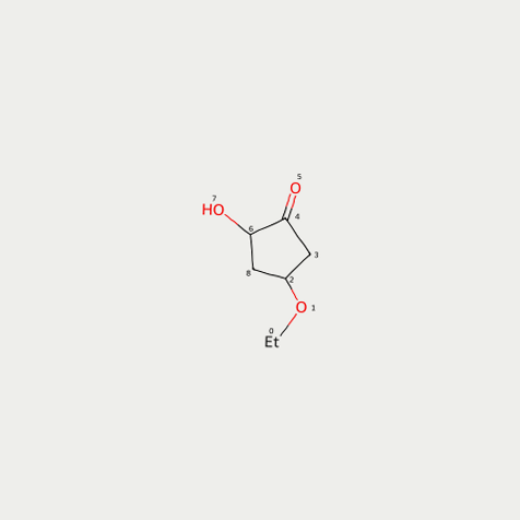 CCOC1CC(=O)C(O)C1